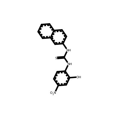 O=[N+]([O-])c1ccc(NC(=S)Nc2ccc3ccccc3c2)c(O)c1